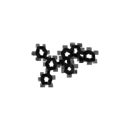 c1ccc(-c2cc(-c3ccccc3)cc(-n3c4ccccc4c4c5c(ccc6c7ccccc7sc65)ccc43)c2)cc1